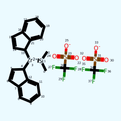 C[Si](C)=[Zr+2]([CH]1C=Cc2ccccc21)[CH]1C=Cc2ccccc21.O=S(=O)([O-])C(F)(F)F.O=S(=O)([O-])C(F)(F)F